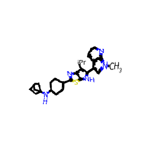 CC(C)c1c(-c2cn(C)c3ncccc23)[nH]c2sc(C3CCC(NC45CCC(C4)C5)CC3)nc12